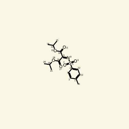 Cc1ccc(S(=O)(=O)N=C(C(=O)OC(C)C)C(=O)OC(C)C)cc1